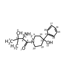 CC(C)(C)C(N)C(=O)N1CCC(O)(c2ccccc2)CC1